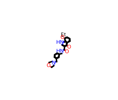 CCOc1cccc2c(=O)c(C(=O)NCc3cccc(CN4CCOCC4)c3)c[nH]c12